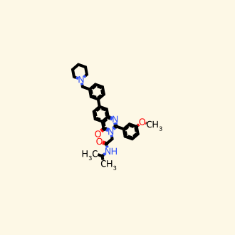 COc1cccc(-c2nc3cc(-c4cccc(CN5CCCCC5)c4)ccc3c(=O)n2CC(=O)NC(C)C)c1